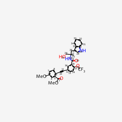 COC(=O)c1cc(OC)ccc1C#Cc1ccc(OC(F)(F)F)c(C(=O)NC(C)(CO)Cc2c[nH]c3ccccc23)c1